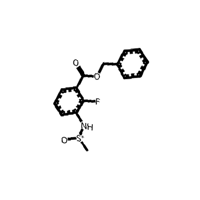 C[S+]([O-])Nc1cccc(C(=O)OCc2ccccc2)c1F